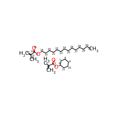 C=C(C)C(=O)OC1CCCCC1.C=C(C)C(=O)OCCCCCCCCCCCCCC